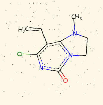 C=Cc1c(Cl)nc(=O)n2c1N(C)CC2